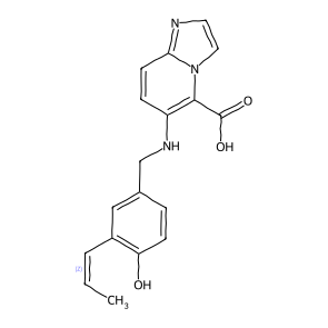 C/C=C\c1cc(CNc2ccc3nccn3c2C(=O)O)ccc1O